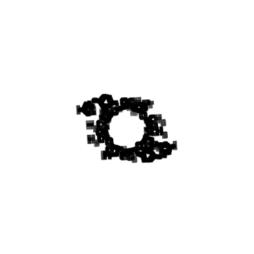 CC(C)C[C@H]1C(=O)O[C@H](Cc2ccc(Cn3cc(I)cn3)cc2)C(=O)N(C)[C@@H](CC(C)C)C(=O)O[C@H](C)C(=O)N(C)[C@@H](CC(C)C)C(=O)O[C@H](Cc2ccc(Cn3cc(I)cn3)cc2)C(=O)N(C)[C@@H](CC(C)C)C(=O)O[C@H](C)C(=O)N1C